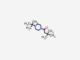 CC(C)(C)CC(=O)N1CCN(C(C)(C)C)CC1